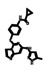 Cc1cc(Nc2cc3nccn3c(Sc3ccc(NC(=O)C4CC4)cc3)n2)n[nH]1